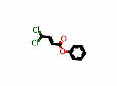 O=C(C=CC(Cl)Cl)Oc1ccccc1